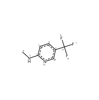 CNc1ccc(C(F)(F)F)[c]n1